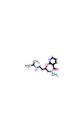 CC(C)NCCC1CN(C)C(=O)c2cccnc2O1